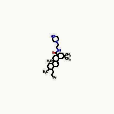 CC(C)CCC1C(C)CCC2C1CC=C1C3CC(C)(C)CCC3(C(=O)NCCN3CCNCC3)CCC12C